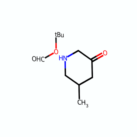 CC(C)(C)OC=O.CC1CNCC(=O)C1